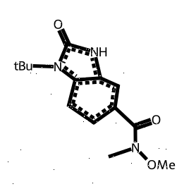 CON(C)C(=O)c1ccc2c(c1)[nH]c(=O)n2C(C)(C)C